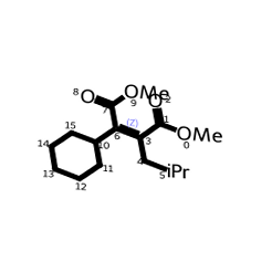 COC(=O)/C(CC(C)C)=C(\C(=O)OC)C1CCCCC1